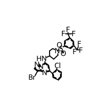 O=S(=O)(c1cc(C(F)(F)F)cc(C(F)(F)F)c1)N1CCC(Nc2cc(-c3ccccc3Cl)nc3c(Br)cnn23)CC1